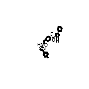 Cc1ccc(-c2csc(NC(=O)CC3CCC(NC(=O)[C@@H]4C[C@H](c5ccccc5)CN4)CC3)n2)cc1